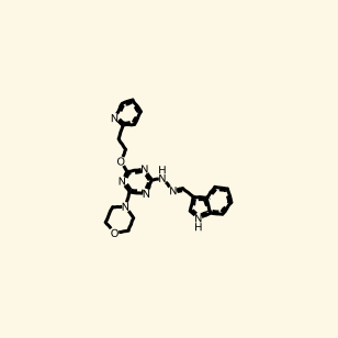 C(=NNc1nc(OCCc2ccccn2)nc(N2CCOCC2)n1)c1c[nH]c2ccccc12